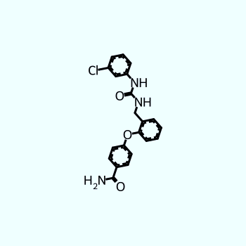 NC(=O)c1ccc(Oc2ccccc2CNC(=O)Nc2cccc(Cl)c2)cc1